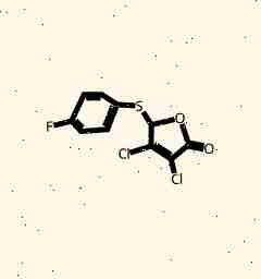 O=C1OC(Sc2ccc(F)cc2)C(Cl)=C1Cl